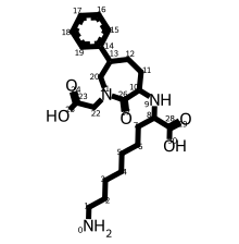 NCCCCCCCC(NC1CCC(c2ccccc2)CN(CC(=O)O)C1=O)C(=O)O